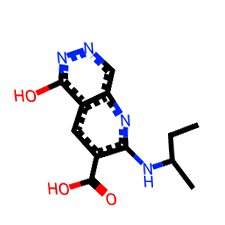 CCC(C)Nc1nc2cnnc(O)c2cc1C(=O)O